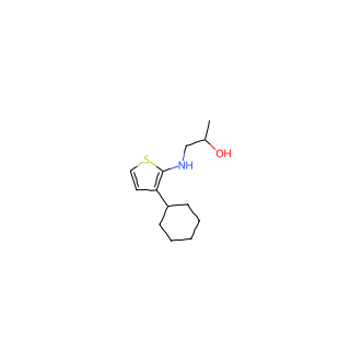 CC(O)CNc1sccc1C1CCCCC1